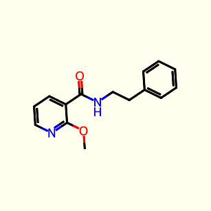 COc1ncccc1C(=O)NCCc1ccccc1